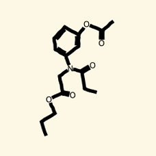 CCCOC(=O)CN(C(=O)CC)c1cccc(OC(C)=O)c1